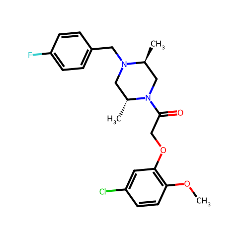 COc1ccc(Cl)cc1OCC(=O)N1C[C@H](C)N(Cc2ccc(F)cc2)C[C@H]1C